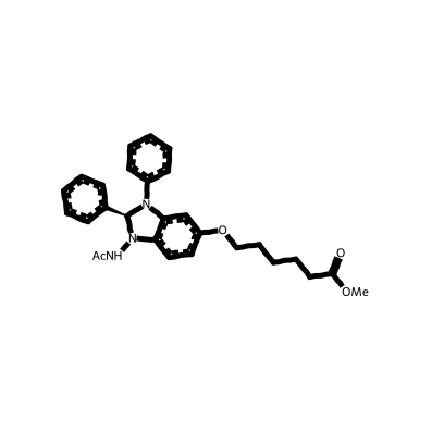 COC(=O)CCCCCOc1ccc2c(c1)N(c1ccccc1)[C@H](c1ccccc1)N2NC(C)=O